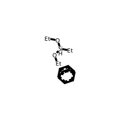 CCO[SiH](CC)OCC.c1cc2ccc1cc2